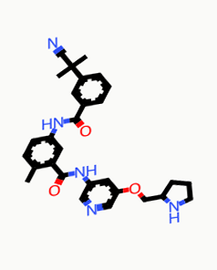 Cc1ccc(NC(=O)c2cccc(C(C)(C)C#N)c2)cc1C(=O)Nc1cncc(OCC2CCCN2)c1